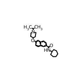 CC(C)N1CCC(Oc2ccc3cc(C(=O)NC4CCCCCC4)ccc3c2)CC1